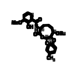 COc1ccnc(C(=O)N[C@H]2CCC[C@H](OCC(C)C)[C@@H](Oc3ccc(C)cc3)[C@H](C)OC2=O)c1O